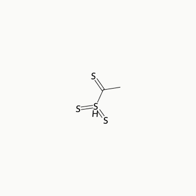 CC(=S)[SH](=S)=S